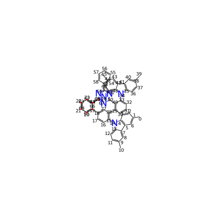 Cc1ccc2c(c1)c1cc(C)ccc1n2-c1ccc(-c2ccccc2C#N)cc1-c1cccc(-n2c3ccc(C)cc3c3cc(C)ccc32)c1-c1nc(-c2ccccc2)nc(-c2ccccc2)n1